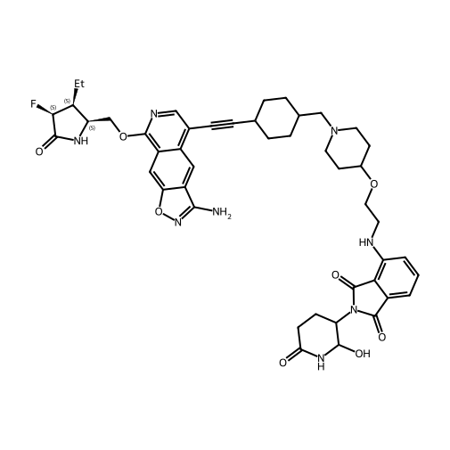 CC[C@@H]1[C@H](F)C(=O)N[C@@H]1COc1ncc(C#CC2CCC(CN3CCC(OCCNc4cccc5c4C(=O)N(C4CCC(=O)NC4O)C5=O)CC3)CC2)c2cc3c(N)noc3cc12